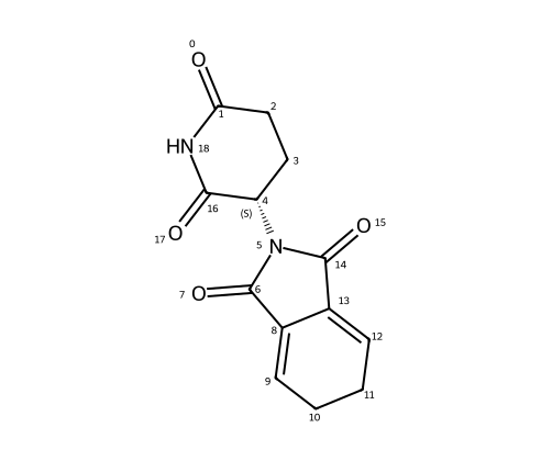 O=C1CC[C@H](N2C(=O)C3=CCCC=C3C2=O)C(=O)N1